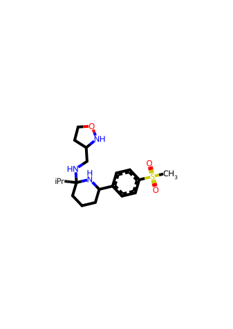 CC(C)C1(NCC2CCON2)CCCC(c2ccc(S(C)(=O)=O)cc2)N1